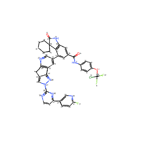 O=C(Nc1ccc(OC(F)(F)Cl)cc1)c1cc2c(c(-c3cnc4c(c3)-c3nn(-c5nccc(-c6ccc(F)nc6)n5)cc3C4)c1)C1(CCCCC1)C(=O)N2